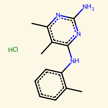 Cc1ccccc1Nc1nc(N)nc(C)c1C.Cl